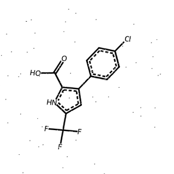 O=C(O)c1[nH]c(C(F)(F)F)cc1-c1ccc(Cl)cc1